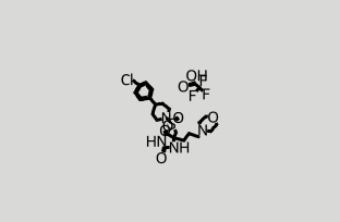 O=C(O)C(F)(F)F.O=C1NC(=O)C(CCCN2CCOCC2)(CS(=O)(=O)N2CCC(c3ccc(Cl)cc3)CC2)N1